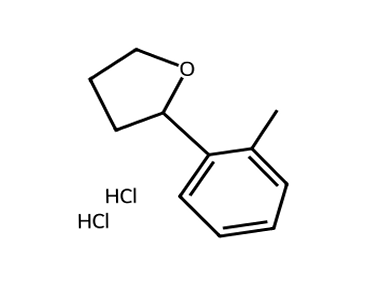 Cc1ccccc1C1CCCO1.Cl.Cl